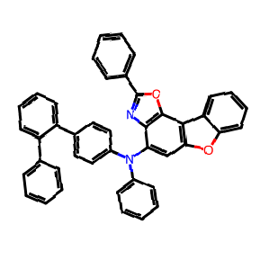 c1ccc(-c2nc3c(N(c4ccccc4)c4ccc(-c5ccccc5-c5ccccc5)cc4)cc4oc5ccccc5c4c3o2)cc1